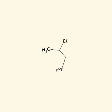 [CH2]CC(C)[CH]CCC